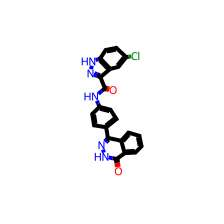 O=C(Nc1ccc(-c2n[nH]c(=O)c3ccccc23)cc1)c1n[nH]c2ccc(Cl)cc12